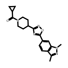 Cc1nn(C)c2cc(-c3nc(C4CCN(C(=O)C5CC5)CC4)no3)ccc12